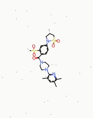 Cc1cc(C)c(N2CCN(C(=O)c3ccc(N4C[C@H](C)CS4(=O)=O)cc3S(C)(=O)=O)CC2)nc1C